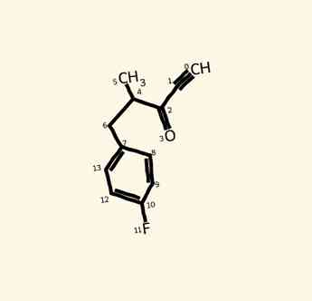 C#CC(=O)C(C)Cc1ccc(F)cc1